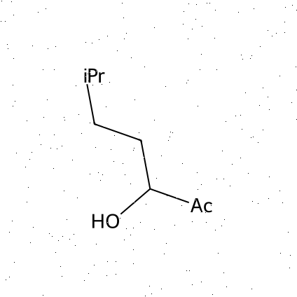 CC(=O)C(O)CCC(C)C